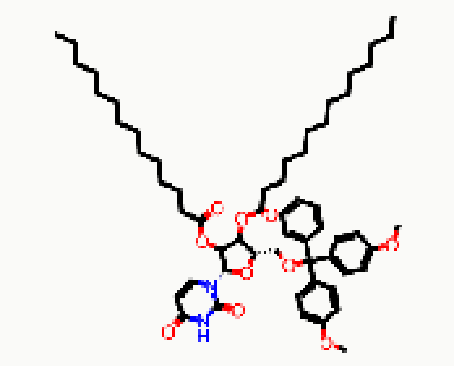 CCCCCCCCCCCCCC(=O)OC1C(OC(=O)CCCCCCCCCCCCC)[C@@H](n2ccc(=O)[nH]c2=O)O[C@H]1COC(c1ccccc1)(c1ccc(OC)cc1)c1ccc(OC)cc1